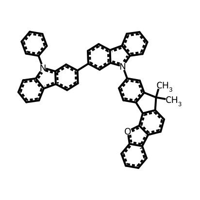 CC1(C)c2cc(-n3c4ccccc4c4ccc(-c5ccc6c7ccccc7n(-c7ccccc7)c6c5)cc43)ccc2-c2c1ccc1c2oc2ccccc21